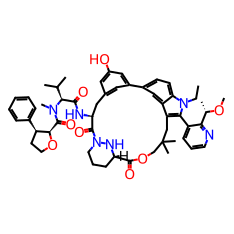 CCn1c(-c2cccnc2[C@H](C)OC)c2c3cc(ccc31)-c1cc(O)cc(c1)C[C@H](NC(=O)[C@H](C(C)C)N(C)C(=O)[C@H]1OCC[C@H]1c1ccccc1)C(=O)N1CCC[C@H](N1)C(=O)OCC(C)(C)C2